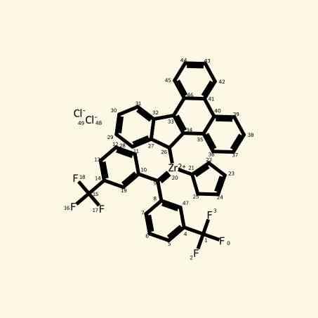 FC(F)(F)c1cccc([C](c2cccc(C(F)(F)F)c2)=[Zr+2]([C]2=CC=CC2)[CH]2c3ccccc3-c3c2c2ccccc2c2ccccc32)c1.[Cl-].[Cl-]